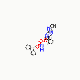 CC(C)(C)OC(=O)[C@H](Cc1cccc(-c2cn3cc(C#N)nc3cn2)c1)NC(=O)OCC1c2ccccc2-c2ccccc21